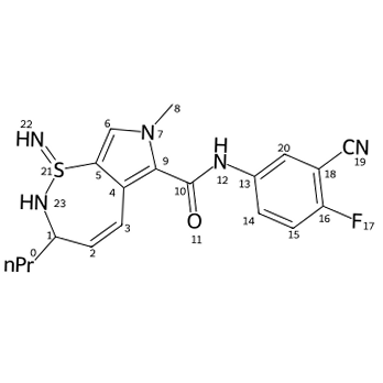 CCCC1C=Cc2c(cn(C)c2C(=O)Nc2ccc(F)c(C#N)c2)S(=N)N1